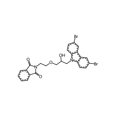 O=C1c2ccccc2C(=O)N1CCOCC(O)Cn1c2ccc(Br)cc2c2cc(Br)ccc21